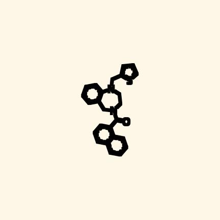 O=C(c1cccc2ccccc12)N1CCN(Cc2cccs2)c2ccccc2C1